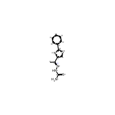 C/C(=N\NC(N)=S)c1csc(-c2ccccc2)n1